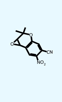 CC1(C)Oc2cc(C#N)c([N+](=O)[O-])cc2C2OC21